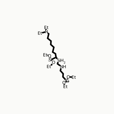 CCO[Si](C)(CCCNC[SiH2]C(CCCCCCCN(CC)CC)[Si](C)(OCC)OCC)OCC